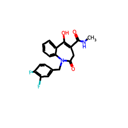 CNC(=O)C1=C(O)c2ccccc2N(Cc2ccc(F)c(F)c2)C(=O)C1